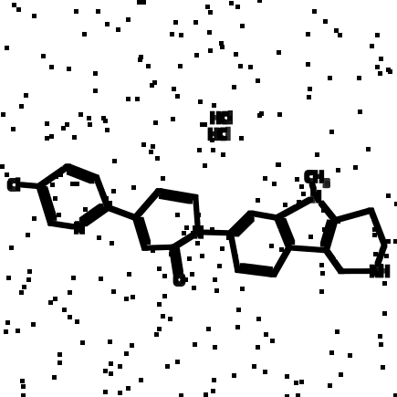 Cl.Cl.Cn1c2c(c3ccc(-n4ccc(-c5ccc(Cl)cn5)cc4=O)cc31)CNCC2